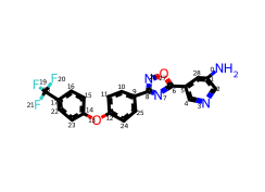 Nc1cncc(-c2nc(-c3ccc(Oc4ccc(C(F)(F)F)cc4)cc3)no2)c1